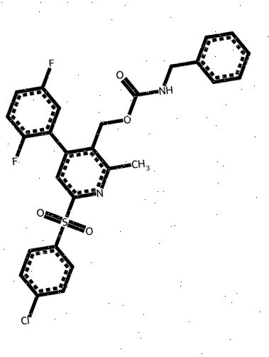 Cc1nc(S(=O)(=O)c2ccc(Cl)cc2)cc(-c2cc(F)ccc2F)c1COC(=O)NCc1ccccc1